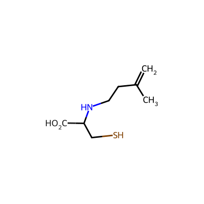 C=C(C)CCNC(CS)C(=O)O